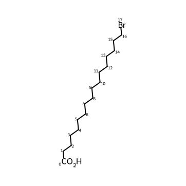 O=C(O)CCCCCCCCCCCCCCCCBr